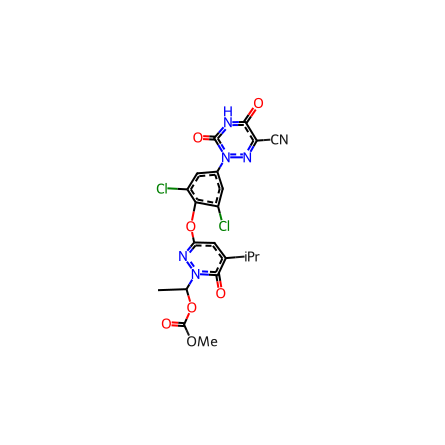 COC(=O)OC(C)n1nc(Oc2c(Cl)cc(-n3nc(C#N)c(=O)[nH]c3=O)cc2Cl)cc(C(C)C)c1=O